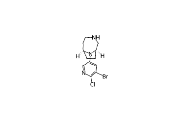 Clc1ncc(N2[C@@H]3CCNC[C@H]2CC3)cc1Br